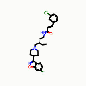 C=C[C@@H](CCNC(=O)/C=C/c1cccc(Cl)c1)CN1CCC(c2noc3cc(F)ccc23)CC1